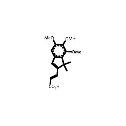 COc1cc2c(c(OC)c1OC)C(C)(C)C(/C=C/C(=O)O)=C2